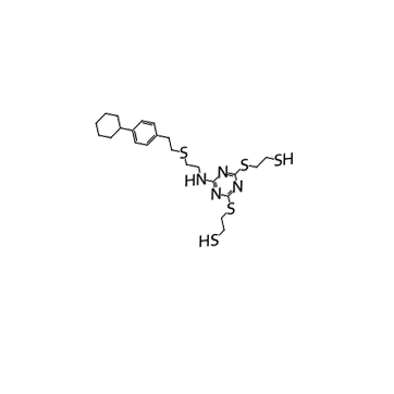 SCCSc1nc(NCCSCCc2ccc(C3CCCCC3)cc2)nc(SCCS)n1